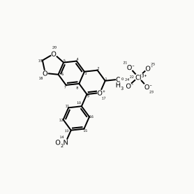 CC1Cc2cc3c(cc2C(c2ccc([N+](=O)[O-])cc2)=[O+]1)OCO3.[O-][Cl+3]([O-])([O-])[O-]